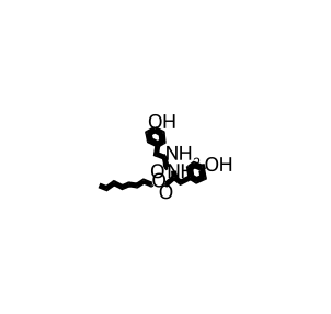 CCCCCCCCOC(=O)C(Cc1ccc(O)cc1)NC(=O)C(N)Cc1ccc(O)cc1